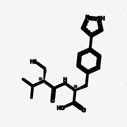 CC(C)[C@H](CS)C(=O)N[C@@H](Cc1ccc(-c2cn[nH]c2)cc1)C(=O)O